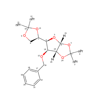 CCCC1(CCC)O[C@H]2O[C@H]([C@H]3COC(CCC)(CCC)O3)[C@H](OCc3ccccc3)[C@H]2O1